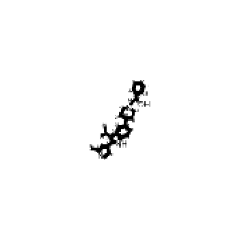 Cc1cc(-c2[nH]c3ccc(C4CCN(CC(O)c5ccccc5)CC4)cc3c2C(C)C)ccn1